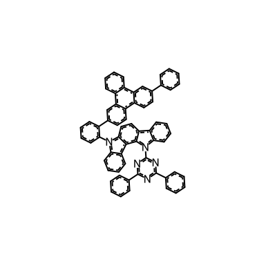 c1ccc(-c2ccc3c4ccc(-c5ccccc5-n5c6ccccc6c6c5ccc5c7ccccc7n(-c7nc(-c8ccccc8)nc(-c8ccccc8)n7)c56)cc4c4ccccc4c3c2)cc1